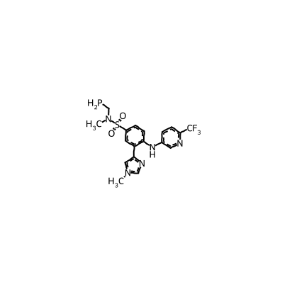 CN(CP)S(=O)(=O)c1ccc(Nc2ccc(C(F)(F)F)nc2)c(-c2cn(C)cn2)c1